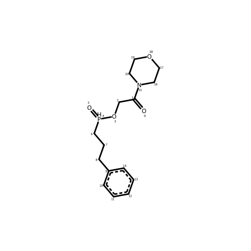 O=C(CO[PH](=O)CCCc1ccccc1)N1CCOCC1